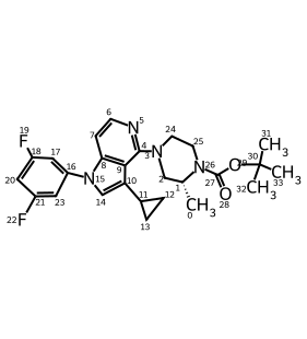 C[C@@H]1CN(c2nccc3c2c(C2CC2)cn3-c2cc(F)cc(F)c2)CCN1C(=O)OC(C)(C)C